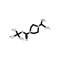 CC(N)N1CCN(C(=O)OC(C)(C)C)CC1